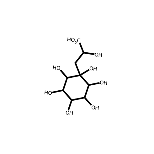 O=C(O)C(O)CC1(O)C(O)C(O)C(O)C(O)C1O